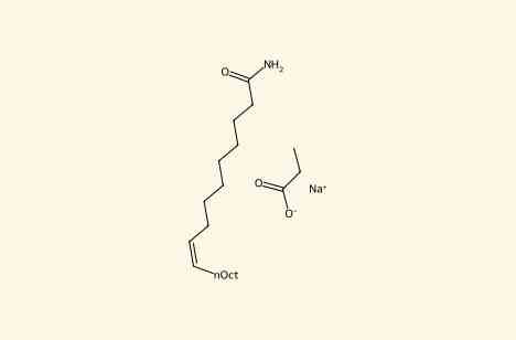 CCC(=O)[O-].CCCCCCCC/C=C\CCCCCCCC(N)=O.[Na+]